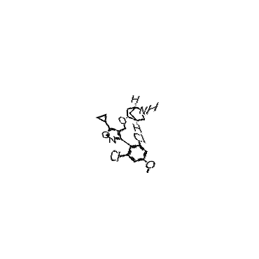 COc1cc(Cl)c(-c2noc(C3CC3)c2CO[C@@H]2C[C@@H]3C[C@H]2CN3)c(Cl)c1